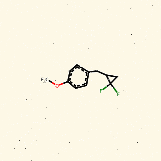 FC(F)(F)Oc1[c]cc(CC2CC2(F)F)cc1